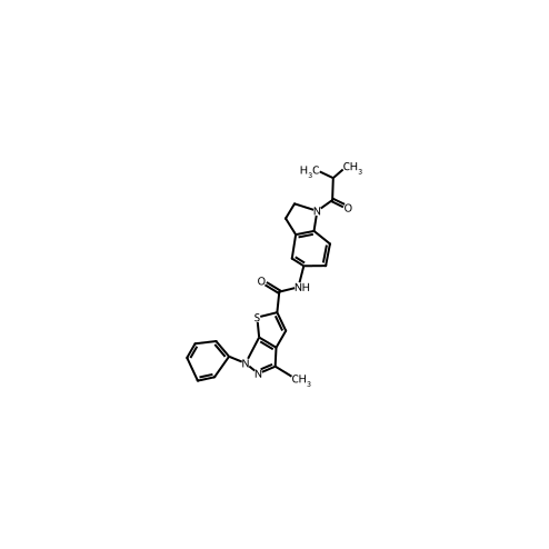 Cc1nn(-c2ccccc2)c2sc(C(=O)Nc3ccc4c(c3)CCN4C(=O)C(C)C)cc12